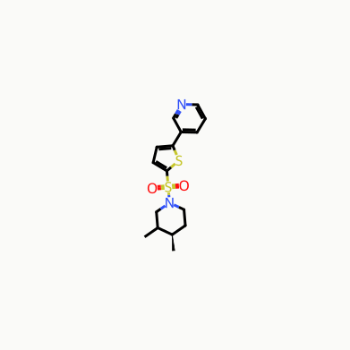 CC1CN(S(=O)(=O)c2ccc(-c3cccnc3)s2)CC[C@H]1C